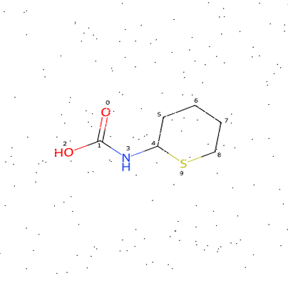 O=C(O)NC1CCCCS1